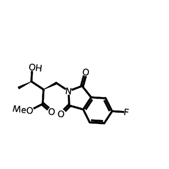 COC(=O)[C@H](CN1C(=O)c2ccc(F)cc2C1=O)[C@@H](C)O